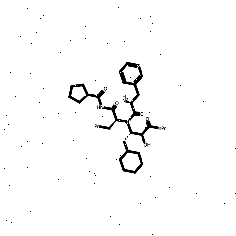 CCCC(=O)C(O)[C@H](CC1CCCCC1)N(C(=O)[C@@H](N)Cc1ccccc1)[C@@H](CC(C)C)C(=O)NC(=O)C1CCCC1